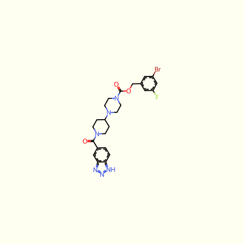 O=C(OCc1cc(F)cc(Br)c1)N1CCN(C2CCN(C(=O)c3ccc4[nH]nnc4c3)CC2)CC1